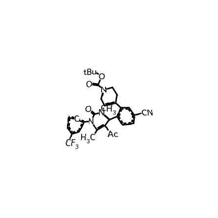 CC(=O)C1=C(C)N(c2cccc(C(F)(F)F)c2)C(=O)N(C)C1c1ccc(C#N)cc1C1=CCN(C(=O)OC(C)(C)C)CC1